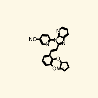 COc1cccc(C=Cc2nc3cccnc3n2-c2ccc(C#N)cn2)c1OC1CCCC1